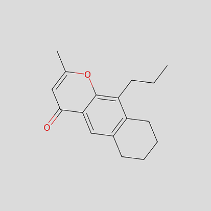 CCCc1c2c(cc3c(=O)cc(C)oc13)CCCC2